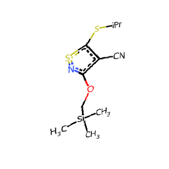 CC(C)Sc1snc(OC[Si](C)(C)C)c1C#N